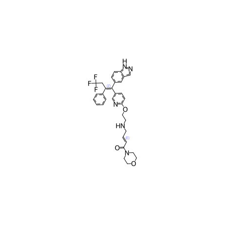 O=C(/C=C/CNCCOc1ccc(/C(=C(/CC(F)(F)F)c2ccccc2)c2ccc3[nH]ncc3c2)cn1)N1CCOCC1